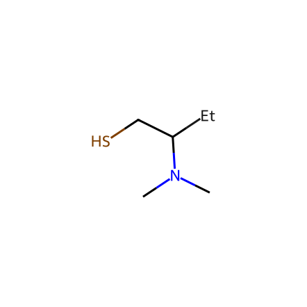 CCC(CS)N(C)C